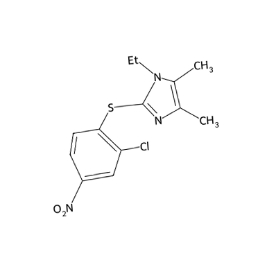 CCn1c(Sc2ccc([N+](=O)[O-])cc2Cl)nc(C)c1C